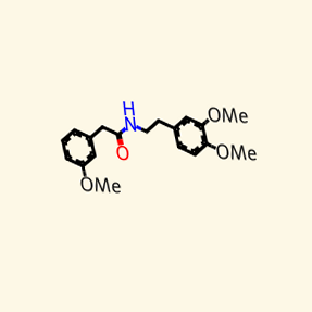 COc1cccc(CC(=O)NCCc2ccc(OC)c(OC)c2)c1